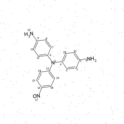 Nc1ccc(N(c2ccc(N)cc2)c2ccc(N=O)cc2)cc1